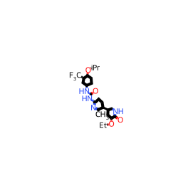 CCOc1cc(-c2ccc(NC(=O)Nc3ccc(OC(C)C)c(C(F)(F)F)c3)nc2C)c[nH]c1=O